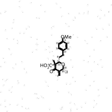 C=C1C(=O)[C@](C)(C(=O)O)[C@H](CCc2ccc(OC)cc2)O[C@@H]1C